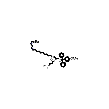 CCCC/C=C\C/C=C\CCCCCCCCCOCC(COC(c1ccccc1)(c1ccccc1)c1ccc(OC)cc1)OC(=O)CCC(=O)O